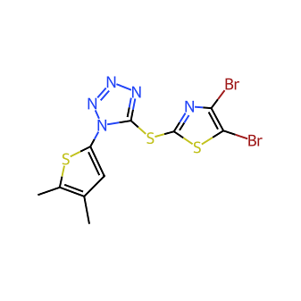 Cc1cc(-n2nnnc2Sc2nc(Br)c(Br)s2)sc1C